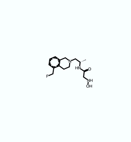 C[C@@H](CN1CCc2c(CF)cccc2C1)NC(=O)CNO